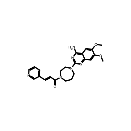 COc1cc2nc(N3CCCN(C(=O)/C=C/c4cccnc4)CC3)nc(N)c2cc1OC